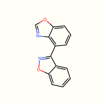 [c]1nc2c(-c3noc4ccccc34)cccc2o1